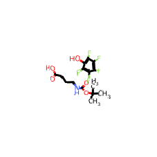 CC(C)(C)OC(=O)NCCCC(=O)O.Oc1c(F)c(F)c(F)c(F)c1F